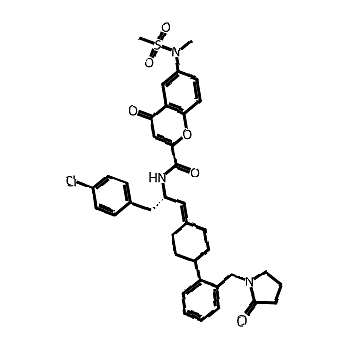 CN(c1ccc2oc(C(=O)N[C@H](C=C3CCC(c4ccccc4CN4CCCC4=O)CC3)Cc3ccc(Cl)cc3)cc(=O)c2c1)S(C)(=O)=O